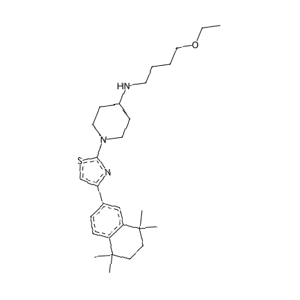 CCOCCCCNC1CCN(c2nc(-c3ccc4c(c3)C(C)(C)CCC4(C)C)cs2)CC1